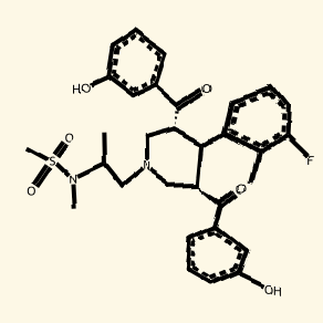 Cc1c(F)cccc1C1[C@@H](C(=O)c2cccc(O)c2)CN(CC(C)N(C)S(C)(=O)=O)C[C@@H]1C(=O)c1cccc(O)c1